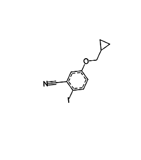 N#Cc1cc(OCC2CC2)ccc1I